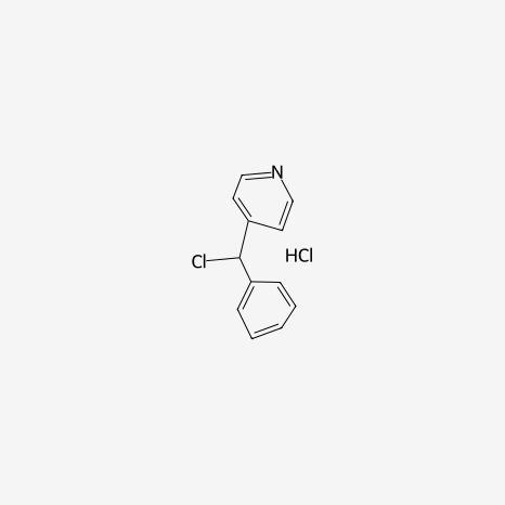 Cl.ClC(c1ccccc1)c1ccncc1